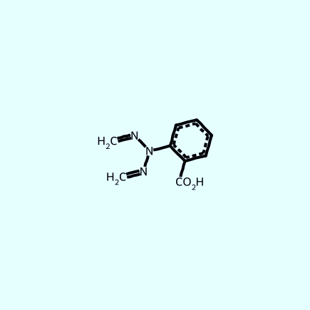 C=NN(N=C)c1ccccc1C(=O)O